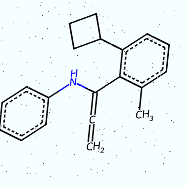 C=C=C(Nc1ccccc1)c1c(C)cccc1C1CCC1